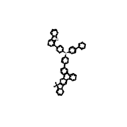 CC1(C)c2ccccc2-c2cc3c4ccccc4c4cc(-c5ccc(N(c6ccc(-c7ccccc7)cc6)c6ccc(-c7cccc8c7oc7ccccc78)cc6)cc5)ccc4c3cc21